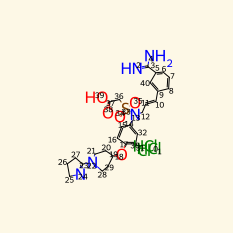 Cl.Cl.N=C(N)c1cccc(/C=C/CN(c2ccc(OC3CCN(C4=NCCC4)CC3)c(Cl)c2)S(=O)(=O)CC(=O)O)c1